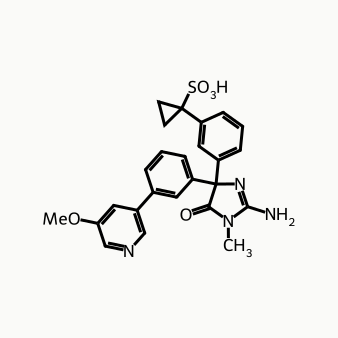 COc1cncc(-c2cccc(C3(c4cccc(C5(S(=O)(=O)O)CC5)c4)N=C(N)N(C)C3=O)c2)c1